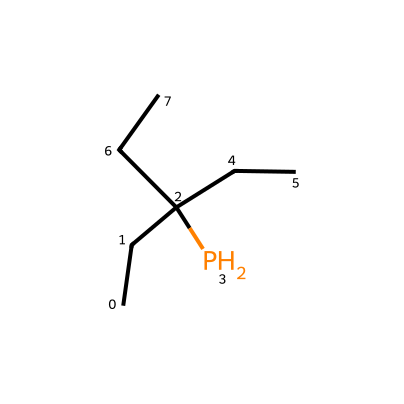 CCC(P)(CC)CC